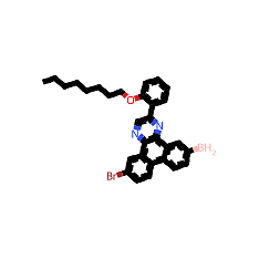 Bc1ccc2c3ccc(Br)cc3c3ncc(-c4ccccc4OCCCCCCCC)nc3c2c1